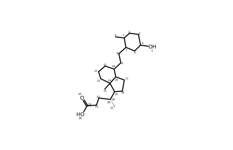 CC1CCC(O)CC1CCC1CCCC2(C)C1CCC2[C@H](C)CCC(=O)O